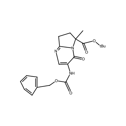 CC(C)(C)OC(=O)C1(C)CCc2ncc(NC(=O)OCc3ccccc3)c(=O)n21